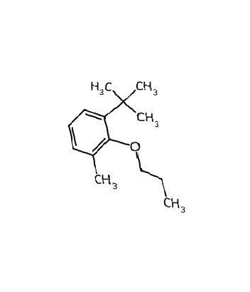 CCCOc1c(C)cccc1C(C)(C)C